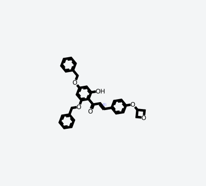 O=C(/C=C/c1ccc(OC2COC2)cc1)c1c(O)cc(OCc2ccccc2)cc1OCc1ccccc1